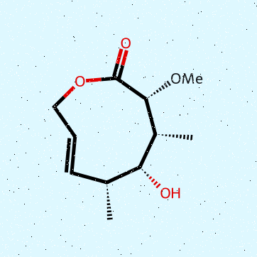 CO[C@H]1C(=O)OC/C=C/[C@@H](C)[C@@H](O)[C@H]1C